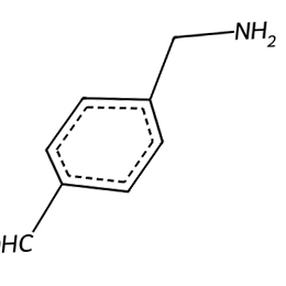 NCc1ccc([C]=O)cc1